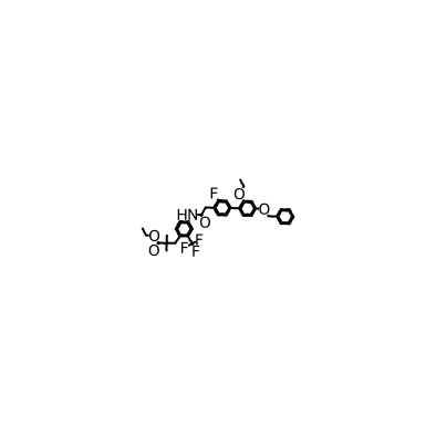 CCOC(=O)C(C)(C)Cc1ccc(NC(=O)Cc2ccc(-c3ccc(OCc4ccccc4)cc3OCC)cc2F)cc1C(F)(F)F